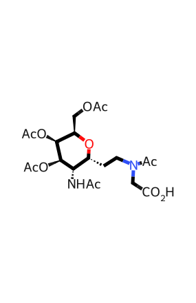 CC(=O)N[C@@H]1[C@@H](OC(C)=O)[C@@H](OC(C)=O)[C@@H](COC(C)=O)O[C@@H]1CCN(CC(=O)O)C(C)=O